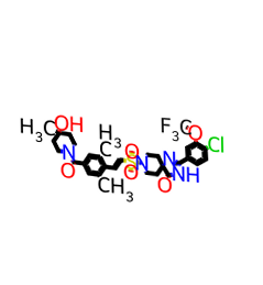 Cc1cc(C(=O)N2CCC(C)(O)CC2)cc(C)c1C=CS(=O)(=O)N1CCC2(CC1)N=C(c1ccc(Cl)c(OC(F)(F)F)c1)NC2=O